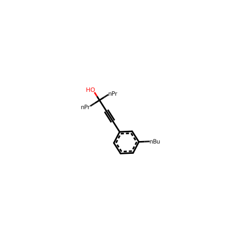 CCCCc1cccc(C#CC(O)(CCC)CCC)c1